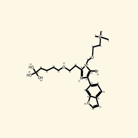 C[Si](C)(C)CCOCn1c(CCOCCCCC(O)(O)O)nc(-c2ccc3ccoc3c2)c1Br